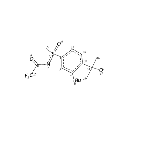 CC(C)(C)c1cc(S(C)(=O)=NC(=O)C(F)(F)F)ccc1C(C)(C)[O]